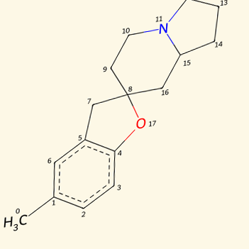 Cc1ccc2c(c1)CC1(CCN3CCCC3C1)O2